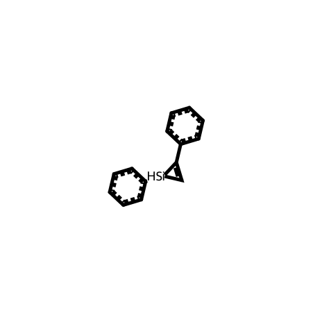 C1=C(c2ccccc2)[SiH]1c1ccccc1